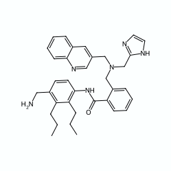 CCCc1c(CN)ccc(NC(=O)c2ccccc2CN(Cc2cnc3ccccc3c2)Cc2ncc[nH]2)c1CCC